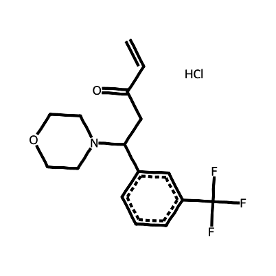 C=CC(=O)CC(c1cccc(C(F)(F)F)c1)N1CCOCC1.Cl